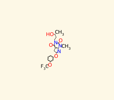 CC(O)CCn1c(=O)c2c(n(C)c1=O)N=C(Oc1cccc(OC(F)(F)F)c1)C2